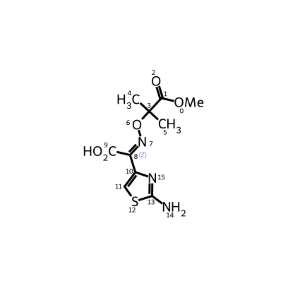 COC(=O)C(C)(C)O/N=C(\C(=O)O)c1csc(N)n1